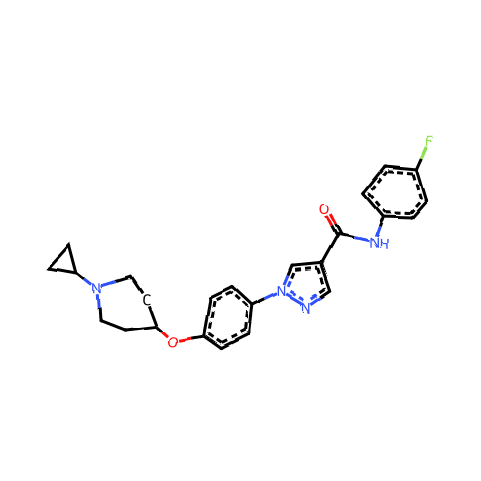 O=C(Nc1ccc(F)cc1)c1cnn(-c2ccc(OC3CCN(C4CC4)CC3)cc2)c1